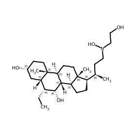 CC[C@H]1[C@@H](O)[C@@H]2[C@H](CC[C@]3(C)[C@@H]([C@H](C)CCN(O)CCO)CC[C@@H]23)[C@@]2(C)CC[C@@H](O)C[C@@H]12